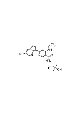 CC(C)(O)[C@H](F)CNC(=O)c1cnc(-n2ccc3cc(C#N)cnc32)cc1NCC(F)(F)F